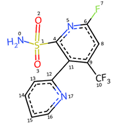 NS(=O)(=O)c1nc(F)cc(C(F)(F)F)c1-c1ccccn1